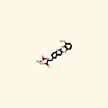 COC(=O)C(Cc1ccc2nc(Oc3c(OC)cccc3OC)ccc2c1)NC(=O)OC(C)(C)C